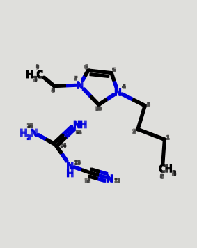 CCCCN1C=CN(CC)C1.N#CNC(=N)N